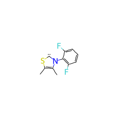 CC1=C(C)N(c2c(F)cccc2F)[C]S1